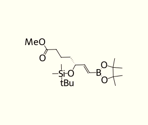 COC(=O)CCC[C@H](/C=C/B1OC(C)(C)C(C)(C)O1)O[Si](C)(C)C(C)(C)C